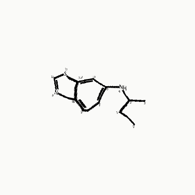 CCC(C)Nc1ccc2ncsc2c1